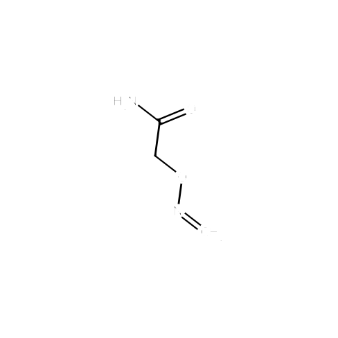 C=NOCC(N)=O